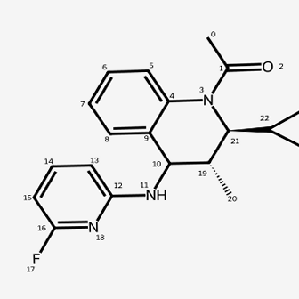 CC(=O)N1c2ccccc2C(Nc2cccc(F)n2)[C@@H](C)[C@@H]1C1CC1